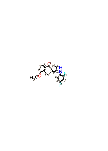 COc1cccc2c1CCC1=C(CCC(Nc3ccc(F)cc3F)=C1)C2=O